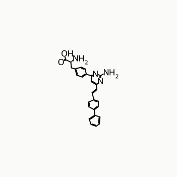 Nc1nc(C=Cc2ccc(-c3ccccc3)cc2)cc(-c2ccc(C[C@H](N)C(=O)O)cc2)n1